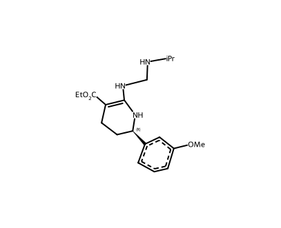 CCOC(=O)C1=C(NCNC(C)C)N[C@@H](c2cccc(OC)c2)CC1